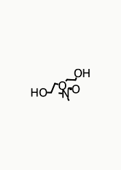 CN(C)C=O.OCCOCCO